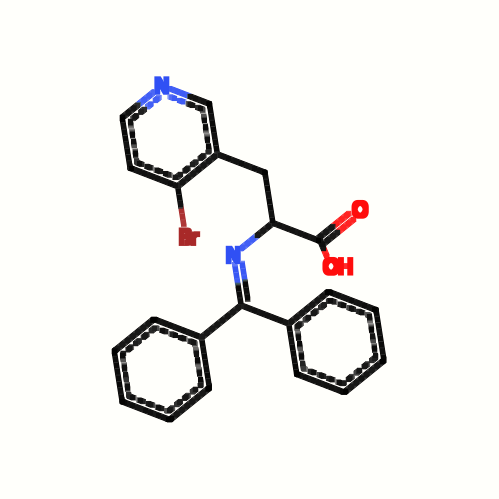 O=C(O)C(Cc1cnccc1Br)N=C(c1ccccc1)c1ccccc1